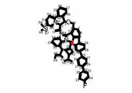 C=C1C2C(CCc3ccc4c(sc5cc(-c6ccc(-c7ccc(F)cc7)cc6)ccc54)c3-c3n(CC4=CC(C(C)C)[C@H]4C)c4c(CC(C)CC)cccc4[n+]31)c1ccccc1-c1ccc([Si](C)(C)C)c[n+]12